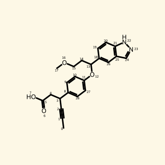 CC#CC(CC(=O)O)c1ccc(OC(CCOC)c2ccc3[nH]ncc3c2)cc1